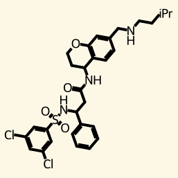 CC(C)CCNCc1ccc2c(c1)OCCC2NC(=O)CC(NS(=O)(=O)c1cc(Cl)cc(Cl)c1)c1ccccc1